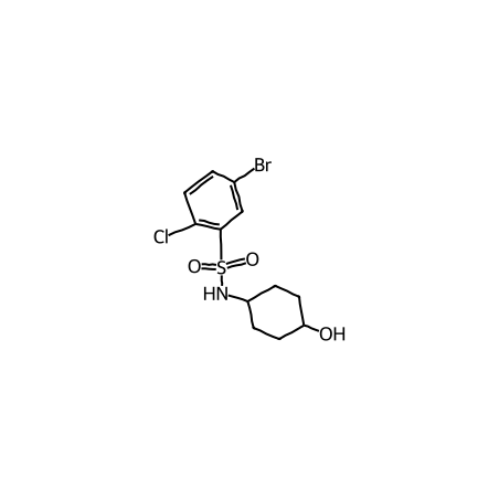 O=S(=O)(NC1CCC(O)CC1)c1cc(Br)ccc1Cl